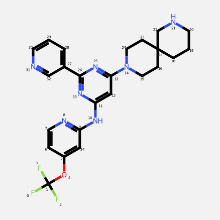 FC(F)(F)Oc1ccnc(Nc2cc(N3CCC4(CCCNC4)CC3)nc(-c3cccnc3)n2)c1